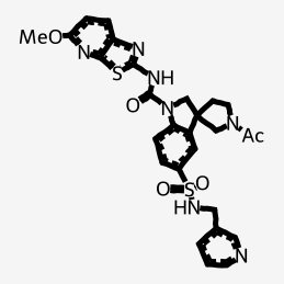 COc1ccc2nc(NC(=O)N3CC4(CCN(C(C)=O)C4)c4cc(S(=O)(=O)NCc5cccnc5)ccc43)sc2n1